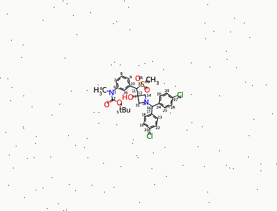 CN(C(=O)OC(C)(C)C)c1cccc(C(C2(O)CN(C(c3ccc(Cl)cc3)c3ccc(Cl)cc3)C2)S(C)(=O)=O)c1